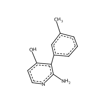 Cc1cccc(-c2c(O)ccnc2N)c1